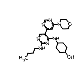 CCCCNc1ncc(-c2cc(N3CCOCC3)ncn2)c(NC2CCC(O)CC2)n1